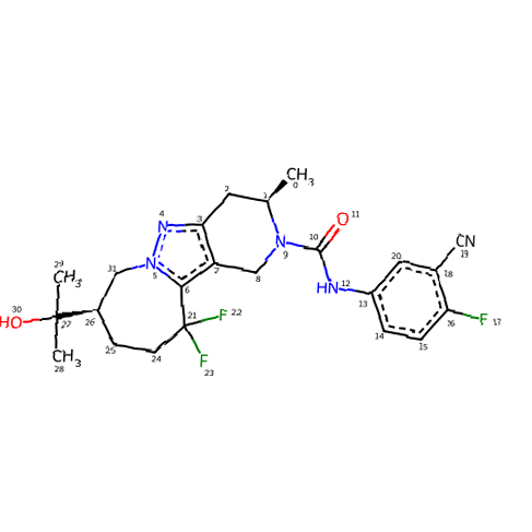 C[C@@H]1Cc2nn3c(c2CN1C(=O)Nc1ccc(F)c(C#N)c1)C(F)(F)CC[C@@H](C(C)(C)O)C3